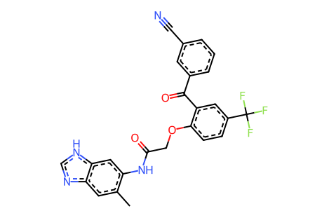 Cc1cc2nc[nH]c2cc1NC(=O)COc1ccc(C(F)(F)F)cc1C(=O)c1cccc(C#N)c1